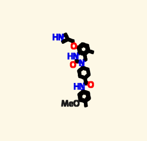 COc1cc(NC(=O)C2CCC(N3Cc4c(C)ccc(OCC5CNC5)c4NC3=O)CC2)ccc1C